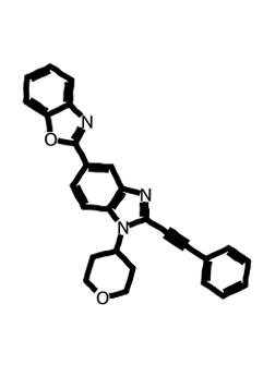 C(#Cc1nc2cc(-c3nc4ccccc4o3)ccc2n1C1CCOCC1)c1ccccc1